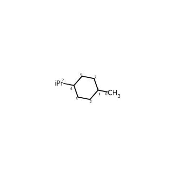 C[C]1CCC(C(C)C)CC1